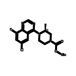 C[C@H]1CN(C(=O)OC(C)(C)C)CCN1c1ncnc2c(F)cc(Cl)cc12